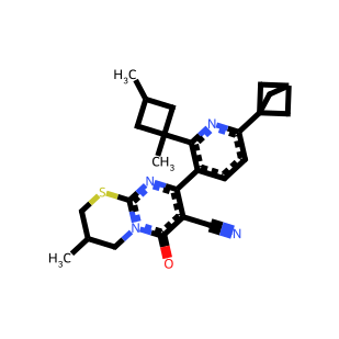 CC1CSc2nc(-c3ccc(C45CC(C4)C5)nc3C3(C)CC(C)C3)c(C#N)c(=O)n2C1